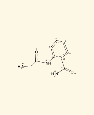 NCC(=O)Nc1ccccc1C(N)=O